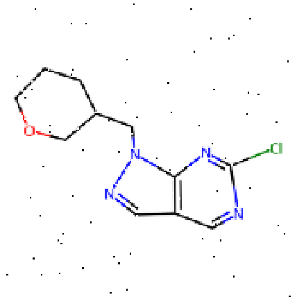 Clc1ncc2cnn(CC3CCCOC3)c2n1